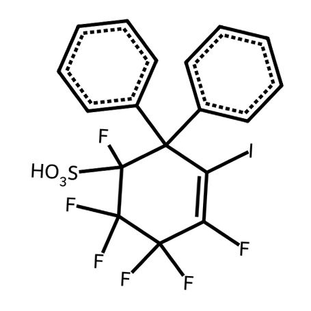 O=S(=O)(O)C1(F)C(c2ccccc2)(c2ccccc2)C(I)=C(F)C(F)(F)C1(F)F